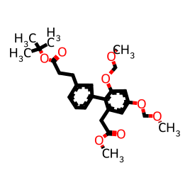 COCOc1cc(CC(=O)OC)c(-c2cccc(CCC(=O)OC(C)(C)C)c2)c(OCOC)c1